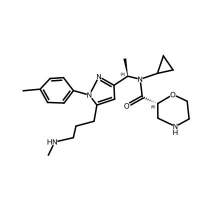 CNCCCc1cc([C@@H](C)N(C(=O)[C@H]2CNCCO2)C2CC2)nn1-c1ccc(C)cc1